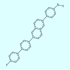 ISc1ccc(-c2ccc3cc(-c4ccc(-c5ccc(I)cc5)cc4)ccc3c2)cc1